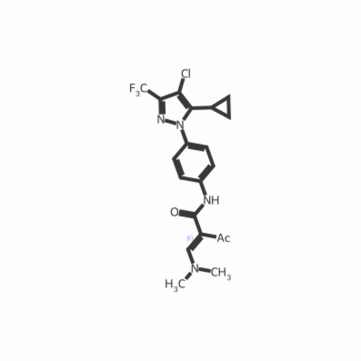 CC(=O)/C(=C\N(C)C)C(=O)Nc1ccc(-n2nc(C(F)(F)F)c(Cl)c2C2CC2)cc1